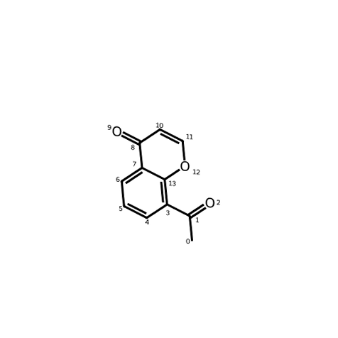 CC(=O)c1cccc2c(=O)ccoc12